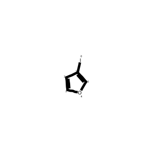 Ic1ccoc1